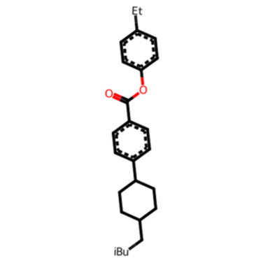 CCc1ccc(OC(=O)c2ccc(C3CCC(CC(C)CC)CC3)cc2)cc1